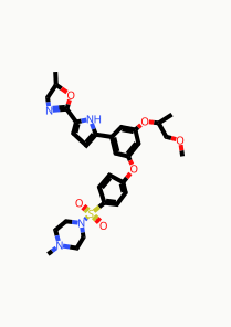 COCC(C)Oc1cc(Oc2ccc(S(=O)(=O)N3CCN(C)CC3)cc2)cc(-c2ccc(C3=NCC(C)O3)[nH]2)c1